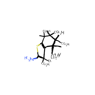 CCC1(C(=O)O)C2=C(SC1N)C(C)(C(=O)O)C(C)(C(=O)O)C(C)(C(=O)O)C2(C)C(=O)O